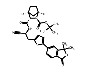 CC(C)(C)OC(=O)N1[C@@H]2CC[C@@H](C2)[C@H]1C(=O)N[C@H](C#N)Cc1ccc(-c2ccc3c(c2)C(C)(C)OC3=O)s1